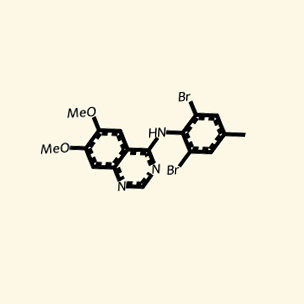 COc1cc2ncnc(Nc3c(Br)cc(C)cc3Br)c2cc1OC